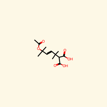 CC(=O)OC(C)(C)C=CC(C)(C)C(C(=O)O)C(=O)O